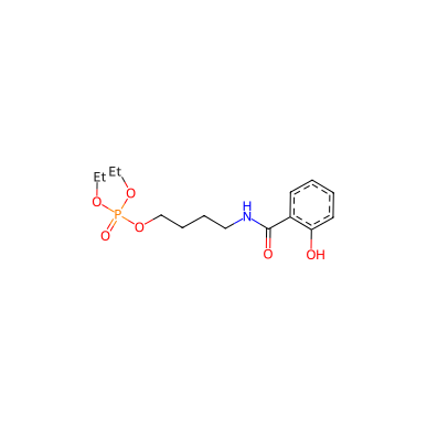 CCOP(=O)(OCC)OCCCCNC(=O)c1ccccc1O